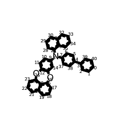 c1ccc(-c2ccc(N(c3ccc4c(c3)Oc3cccc5cccc(c35)O4)c3cccc4ccccc34)cc2)cc1